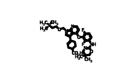 CC1(C)CN=C(Nc2ccc(F)c(Oc3ccnc4c3c(C3=CCC(C(=O)O)CC3)cn4COCC[Si](C)(C)C)c2F)OC1